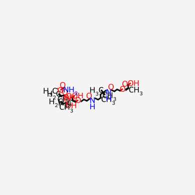 C=C(C)C(=O)O.C=C(C)C(=O)O.CC(=COCCCC(=O)NCCC(C)CC(C)(C)CNC(=O)CCCOC=C(C)C(=O)O)C(=O)O.CCOC(N)=O